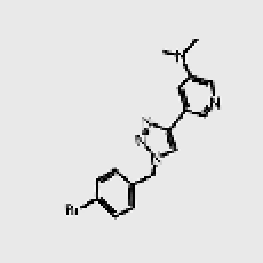 CN(C)c1cncc(-c2cn(Cc3ccc(Br)cc3)nn2)c1